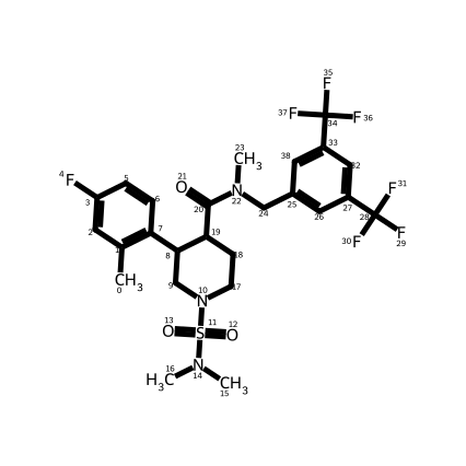 Cc1cc(F)ccc1C1CN(S(=O)(=O)N(C)C)CCC1C(=O)N(C)Cc1cc(C(F)(F)F)cc(C(F)(F)F)c1